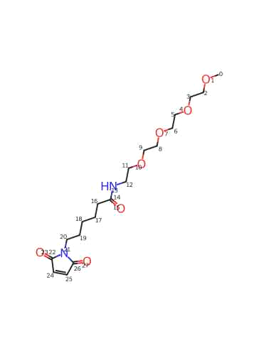 COCCOCCOCCOCCNC(=O)CCCCCN1C(=O)C=CC1=O